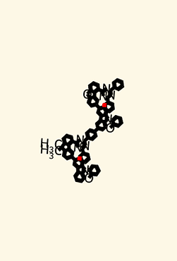 CC1(C)c2ccc(-c3ccc4c(c3)c3cccc5c3n4-c3ccccc3O5)cc2-c2c(-c3nc(-c4ccccc4)nc(-c4ccc(-c5cc6c7c(c5)c5cc(-c8ccc9oc%10cccc(-c%11nc(-c%12ccccc%12)nc(-c%12ccccc%12)n%11)c%10c9c8)ccc5n7-c5ccccc5O6)cc4)n3)cccc21